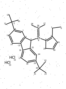 CCC1=[C]([Zr]([CH]2c3cc(C(C)(C)C)ccc3-c3ccc(C(C)(C)C)cc32)=[Si](C)C)CC=C1.Cl.Cl